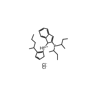 CCCC(C)C1=[C]([Hf+2][CH]2C(P(C(C)CC)C(C)CC)=Cc3ccccc32)CC=C1.[Cl-].[Cl-]